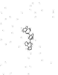 O=C(c1cc(-c2ccc3c(c2)OCO3)on1)N1CCCC1c1ncco1